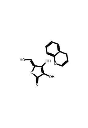 C1=COc2ccccc2C1.OC=C1OC(=S)C(O)=C1O